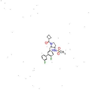 CS(=O)(=O)N[C@H]1CCN(C(=O)C2CCC2)[C@H]1Cc1ccc(F)c(-c2cccc(F)c2)c1